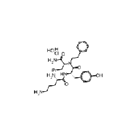 CC(C)C[C@@H](C(N)=O)N(CCc1ccccc1)C(=O)[C@H](Cc1ccc(O)cc1)NC(=O)[C@@H](N)CCCN.Cl.Cl